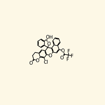 Cc1ccccc1C1(OCO)c2cc3c(c(Cl)c2Oc2cc(OC(=O)C(F)(F)F)c4ccccc4c21)OC(=O)CC3